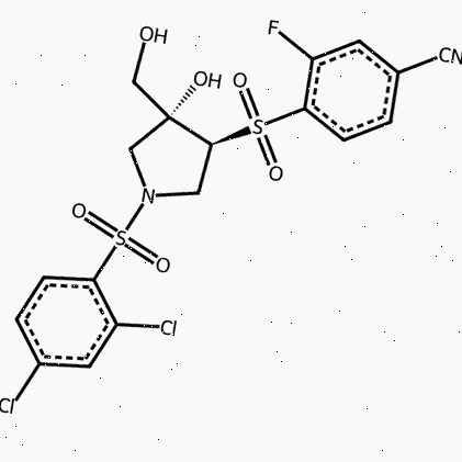 N#Cc1ccc(S(=O)(=O)[C@H]2CN(S(=O)(=O)c3ccc(Cl)cc3Cl)C[C@@]2(O)CO)c(F)c1